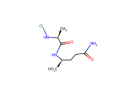 C[C@H](NCl)C(=O)N[C@@H](CCC(N)=O)C(=O)O